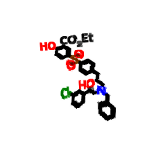 CCOC(=O)c1cc(S(=O)(=O)c2ccc(CCCN(Cc3ccccc3)C[C@@H](O)c3cccc(Cl)c3)cc2)ccc1O